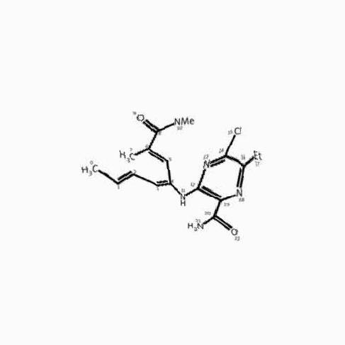 C/C=C/C=C(\C=C(/C)C(=O)NC)Nc1nc(Cl)c(CC)nc1C(N)=O